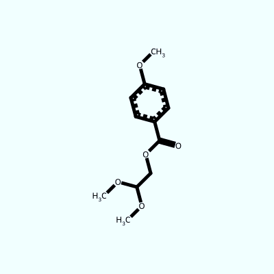 COc1ccc(C(=O)OCC(OC)OC)cc1